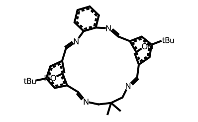 CC1(C)C/N=C/c2cc(C(C)(C)C)cc(c2O)/C=N/c2ccccc2/N=C/c2cc(C(C)(C)C)cc(c2O)/C=N/C1